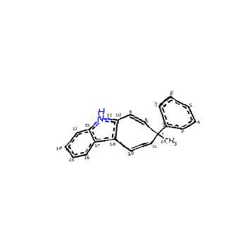 CC1(c2ccccc2)C=Cc2[nH]c3ccccc3c2C=C1